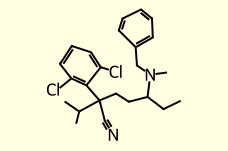 CCC(CCC(C#N)(c1c(Cl)cccc1Cl)C(C)C)N(C)Cc1ccccc1